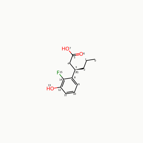 CCC[C@H](CC(=O)O)c1cccc(O)c1F